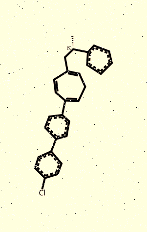 C[C@@H](CC1=CCC=C(c2ccc(-c3ccc(Cl)cc3)cc2)C=C1)c1ccccc1